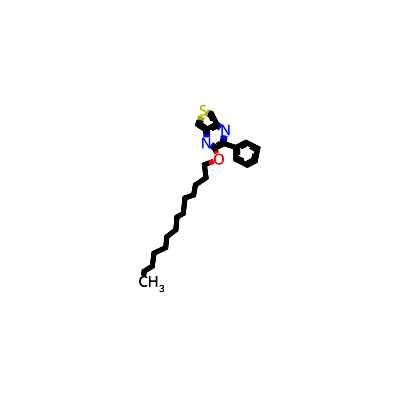 CCCCCCCCCCCCCCOc1nc2cscc2nc1-c1ccccc1